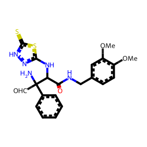 COc1ccc(CNC(=O)C(Nc2n[nH]c(=S)s2)C(N)(C=O)c2ccccc2)cc1OC